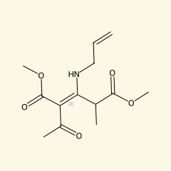 C=CCN/C(=C(/C(C)=O)C(=O)OC)C(C)C(=O)OC